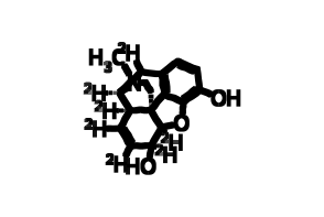 [2H]C1=C([2H])[C@]([2H])(O)[C@]2([2H])Oc3c(O)ccc4c3[C@@]23CCN(C)[C@]([2H])(C4[2H])[C@]13[2H]